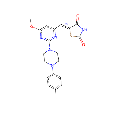 COc1cc(/C=C2\SC(=O)NC2=O)nc(N2CCN(c3ccc(C)cc3)CC2)n1